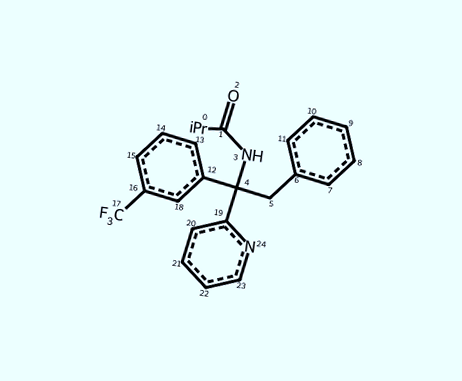 CC(C)C(=O)NC(Cc1ccccc1)(c1cccc(C(F)(F)F)c1)c1ccccn1